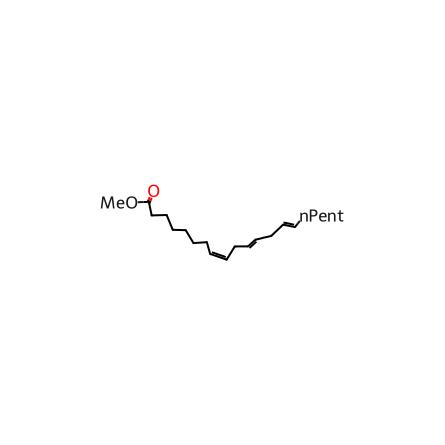 CCCCCC=CCC=CC/C=C\CCCCCCC(=O)OC